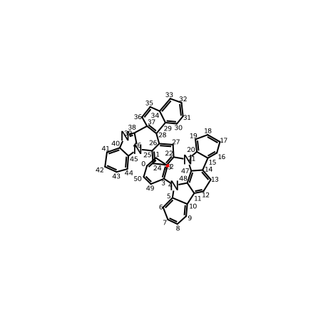 c1ccc(-n2c3ccccc3c3ccc4c5ccccc5n(-c5ccc6c(c5)c5c7ccccc7ccc5c5nc7ccccc7n65)c4c32)cc1